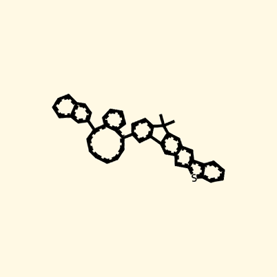 CC1(C)c2ccc(-c3ccccccc(-c4ccc5ccccc5c4)c4ccccc34)cc2-c2cc3cc4sc5ccccc5c4cc3cc21